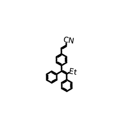 CCC(=C(c1ccccc1)c1ccc(C=CC#N)cc1)c1ccccc1